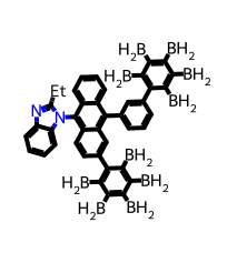 Bc1c(B)c(B)c(-c2cccc(-c3c4ccccc4c(-n4c(CC)nc5ccccc54)c4ccc(-c5c(B)c(B)c(B)c(B)c5B)cc34)c2)c(B)c1B